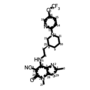 Cc1nc2c(NCC[C@@H]3CCCN(c4ccc(OC(F)(F)F)cn4)C3)c(C#N)c(=O)n(C)c2s1